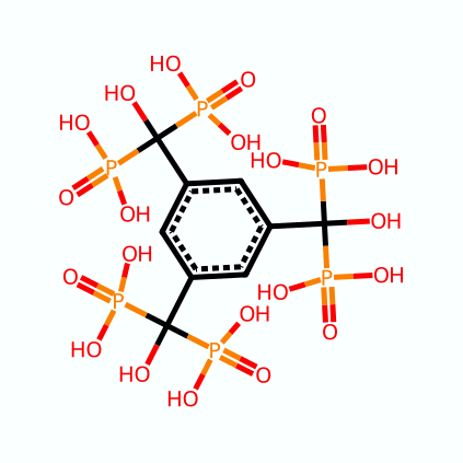 O=P(O)(O)C(O)(c1cc(C(O)(P(=O)(O)O)P(=O)(O)O)cc(C(O)(P(=O)(O)O)P(=O)(O)O)c1)P(=O)(O)O